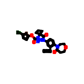 COc1cc(NC(=O)C2(NC(=O)Oc3ccc(Br)s3)CCC2)ccc1N1CCOCCC1=O